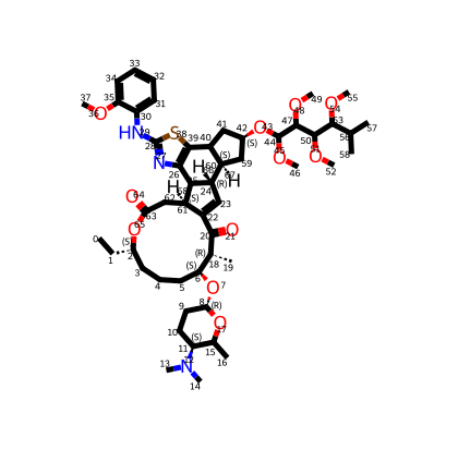 CC[C@H]1CCC[C@H](O[C@H]2CC[C@H](N(C)C)C(C)O2)[C@@H](C)C(=O)C2=C[C@@H]3C(c4nc(Nc5ccccc5OC)sc4C4C[C@@H](OC(OC)C(OC)C(OC)C(OC)C(C)C)C[C@H]43)[C@@H]2CC(=O)O1